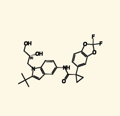 CC(C)(C)c1cc2cc(NC(=O)C3(c4ccc5c(c4)OC(F)(F)O5)CC3)ccc2n1C[C@@H](O)CO